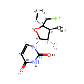 CC[C@@]1(CF)O[C@@H](n2ccc(=O)[nH]c2=O)[C@@H](Cl)[C@@H]1C